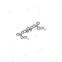 FC(F)(F)c1cccc(N(c2ccccc2)c2ccc3cc4c(cc3c2)oc2c4ccc3c4cc5ccc(N(c6ccccc6)c6cccc(C(F)(F)F)c6)cc5cc4oc32)c1